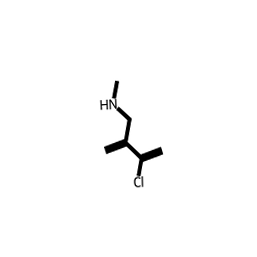 C=C(Cl)C(=C)CNC